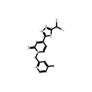 Cc1ccnc(Cn2ccc(-c3nnc(C(F)F)o3)cc2=O)c1